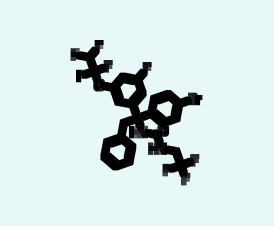 O=C(NCC(F)(F)F)NC(Cc1ccccc1)(c1ccc(Br)cc1)c1cc(F)cc(OC(F)(F)C(F)F)c1